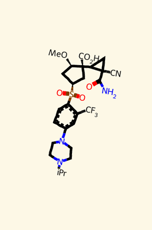 CO[C@@H]1C[C@H](S(=O)(=O)c2ccc(N3CCN(C(C)C)CC3)cc2C(F)(F)F)C[C@@]1(C(=O)O)C1CC1(C#N)C(N)=O